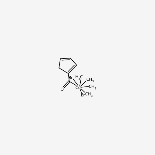 [CH3][Co]([CH3])([CH3])([CH3])([Br])([Br])[C](=O)C1=CC=CC1